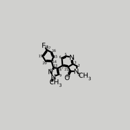 CN1Cc2nccc(-c3cn(C)nc3-c3ccc(F)cc3)c2C1=O